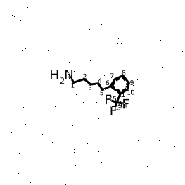 NCCCCCc1ccccc1C(F)(F)F